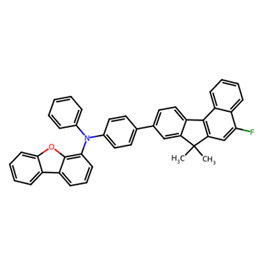 CC1(C)c2cc(-c3ccc(N(c4ccccc4)c4cccc5c4oc4ccccc45)cc3)ccc2-c2c1cc(F)c1ccccc21